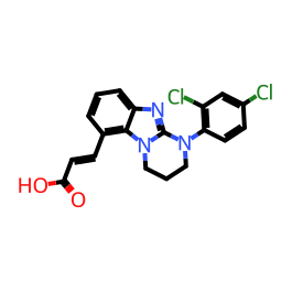 O=C(O)C=Cc1cccc2nc3n(c12)CCCN3c1ccc(Cl)cc1Cl